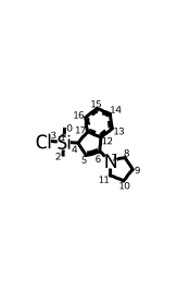 C[Si](C)(Cl)C1C=C(N2CCCC2)c2ccccc21